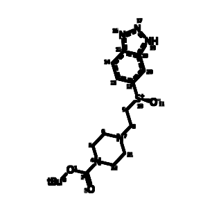 CC(C)(C)OC(=O)N1CCN(CC[S@+]([O-])c2ccc3nn[nH]c3c2)CC1